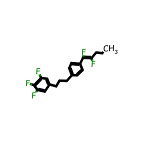 CCCC(F)=C(F)c1ccc(CCCc2cc(F)c(F)c(F)c2)cc1